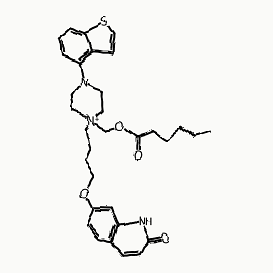 CCCCCC(=O)OC[N+]1(CCCCOc2ccc3ccc(=O)[nH]c3c2)CCN(c2cccc3sccc23)CC1